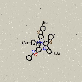 CC(C)(C)c1ccc(Nc2cc3sc4cc(C(C)(C)C)ccc4c3cc2-c2c3c4c(c5cc(C(C)(C)C)ccc5n4-c4cc5oc(-c6ccccc6)nc5cc4B3)c3sc4ccccc4c23)cc1